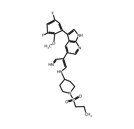 CCCS(=O)(=O)N1CCC(N/C=C(\C=N)c2cnc3[nH]cc(-c4cc(F)cc(F)c4OC)c3c2)CC1